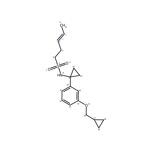 C/C=C/CCS(=O)(=O)NC1(c2cccc(OCC3CC3)c2)CC1